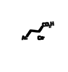 CC(=O)CCC(=O)O.[Co]